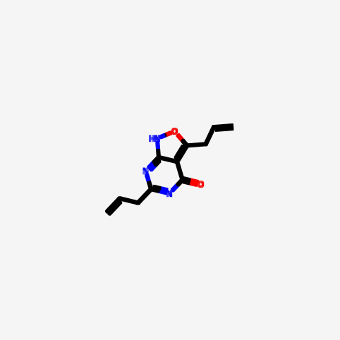 C=CCc1nc2[nH]oc(CC=C)c-2c(=O)n1